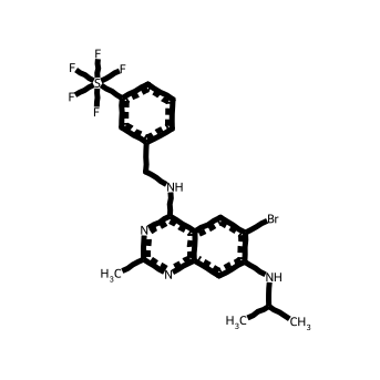 Cc1nc(NCc2cccc(S(F)(F)(F)(F)F)c2)c2cc(Br)c(NC(C)C)cc2n1